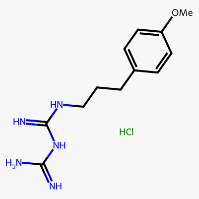 COc1ccc(CCCNC(=N)NC(=N)N)cc1.Cl